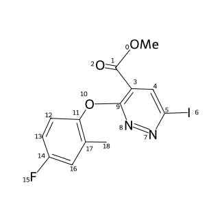 COC(=O)c1cc(I)nnc1Oc1ccc(F)cc1C